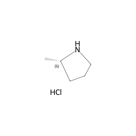 C[C@H]1CCCN1.Cl